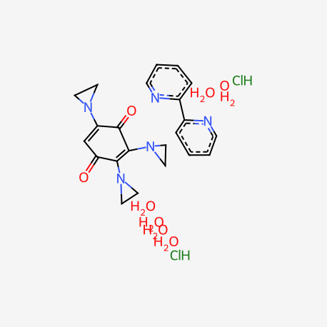 Cl.Cl.O.O.O.O.O.O.O=C1C=C(N2CC2)C(=O)C(N2CC2)=C1N1CC1.c1ccc(-c2ccccn2)nc1